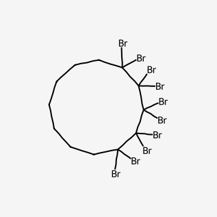 BrC1(Br)CCCCCCCC(Br)(Br)C(Br)(Br)C(Br)(Br)C1(Br)Br